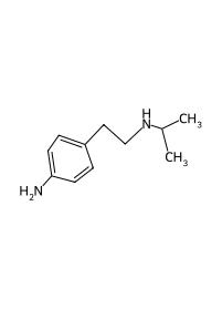 CC(C)NCCc1ccc(N)cc1